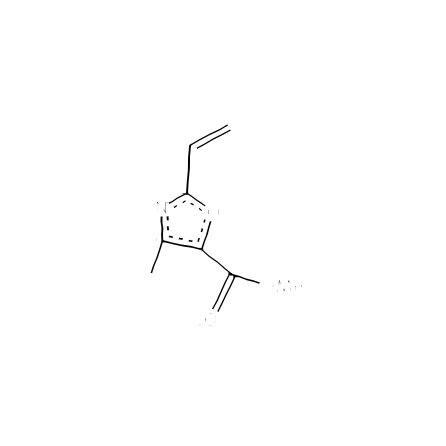 [CH]=Cc1nc(C)c(C(=O)OC)o1